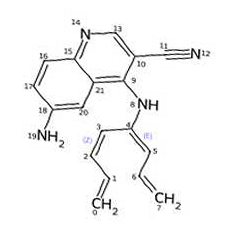 C=C/C=C\C(=C/C=C)Nc1c(C#N)cnc2ccc(N)cc12